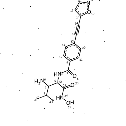 NC(C(F)F)[C@H](NC(=O)c1ccc(C#Cc2ccno2)cc1)C(=O)NO